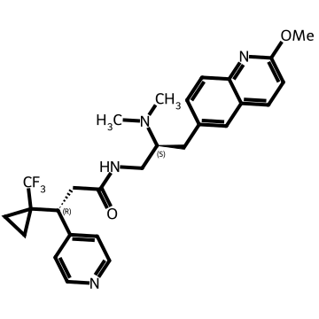 COc1ccc2cc(C[C@@H](CNC(=O)C[C@H](c3ccncc3)C3(C(F)(F)F)CC3)N(C)C)ccc2n1